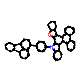 c1ccc2c(c1)-c1cccc3c(-c4ccc(-n5c6ccccc6c6c7c8ccccc8c8ccccc8c7c7c8ccccc8oc7c65)cc4)ccc-2c13